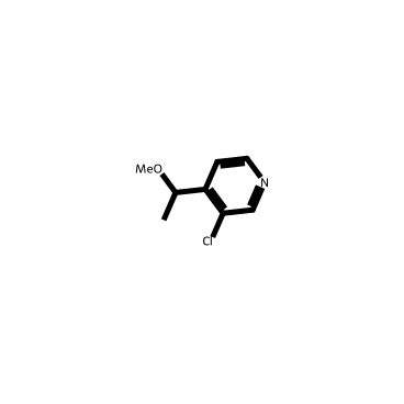 COC(C)c1ccncc1Cl